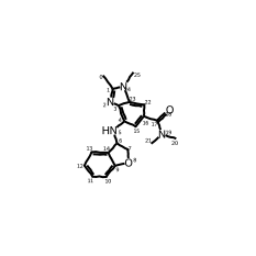 Cc1nc2c(NC3COc4ccccc43)cc(C(=O)N(C)C)cc2n1C